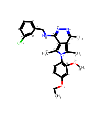 CCOc1ccc(-n2c(C)c3c(C)nnc(NCc4cccc(Cl)c4)c3c2C)c(OC)c1